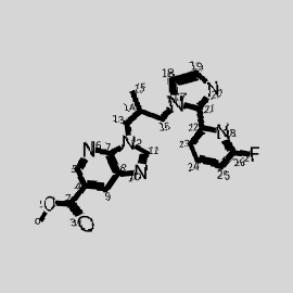 COC(=O)c1cnc2c(c1)ncn2CC(C)Cn1ccnc1-c1cccc(F)n1